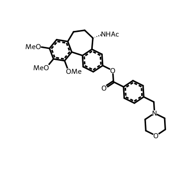 COc1cc2c(c(OC)c1OC)-c1ccc(OC(=O)c3ccc(CN4CCOCC4)cc3)cc1[C@@H](NC(C)=O)CC2